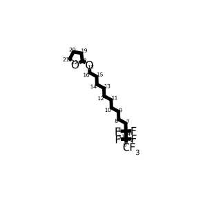 FC(F)(F)C(F)(F)C(F)(F)CCCCCCCCCCOC1CCCO1